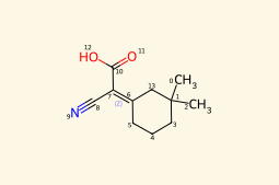 CC1(C)CCC/C(=C(\C#N)C(=O)O)C1